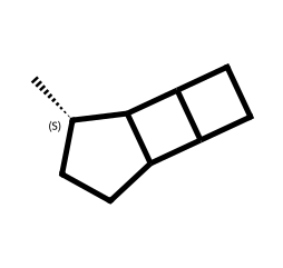 C[C@H]1CCC2C3CCC3C21